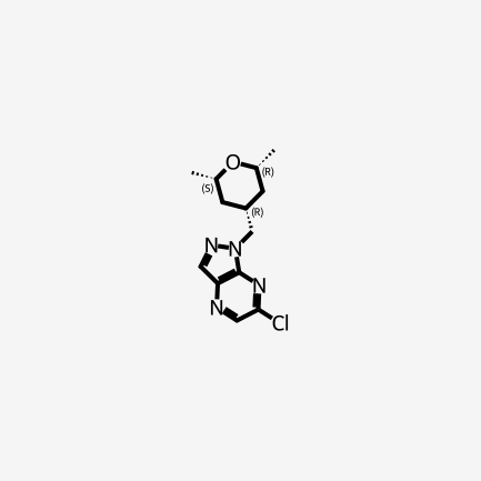 C[C@@H]1C[C@H](Cn2ncc3ncc(Cl)nc32)C[C@H](C)O1